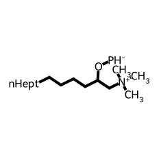 CCCCCCCCCCCC(C[N+](C)(C)C)O[PH-]